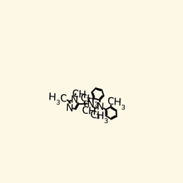 Cc1ccccc1N1c2ccccc2N(C(C)(C)c2cnc(C)n2C)[C@@H]1C